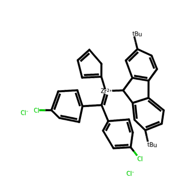 CC(C)(C)c1ccc2c(c1)[CH]([Zr+2]([C]1=CC=CC1)=[C](c1ccc(Cl)cc1)c1ccc(Cl)cc1)c1cc(C(C)(C)C)ccc1-2.[Cl-].[Cl-]